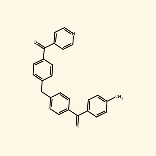 Cc1ccc(C(=O)c2ccc(Cc3ccc(C(=O)c4ccncc4)cc3)nc2)cc1